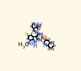 CNc1cc(F)cc2c1[nH]c1nc(Oc3cnc4cccnc4c3)nc(N3CC4CCN[C@H]4C3)c12